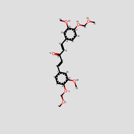 COCOc1ccc(/C=C/C(=O)/C=C/c2ccc(OCOC)c(OC)c2)cc1OC